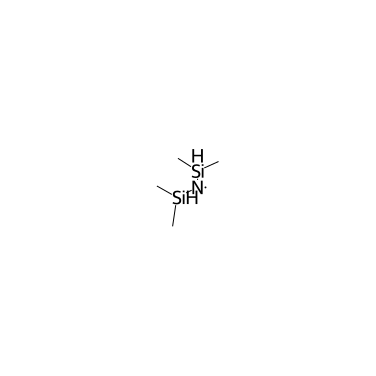 C[SiH](C)[N][SiH](C)C